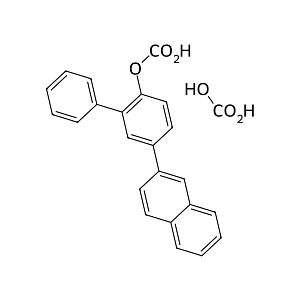 O=C(O)O.O=C(O)Oc1ccc(-c2ccc3ccccc3c2)cc1-c1ccccc1